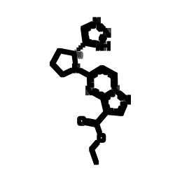 CCOC(=O)c1cnn2ccc(N3CCC[C@@H]3c3cnn[nH]3)nc12